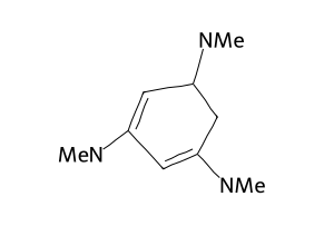 CNC1=CC(NC)CC(NC)=C1